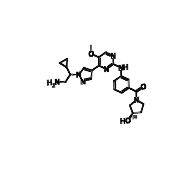 COc1cnc(Nc2cccc(C(=O)N3CC[C@@H](O)C3)c2)nc1-c1cnn(C(CN)C2CC2)c1